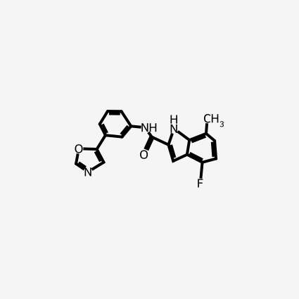 Cc1ccc(F)c2cc(C(=O)Nc3cccc(-c4cnco4)c3)[nH]c12